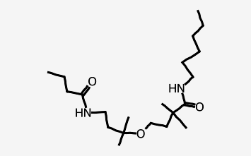 CCCCCCNC(=O)C(C)(C)CCOC(C)(C)CCNC(=O)CCC